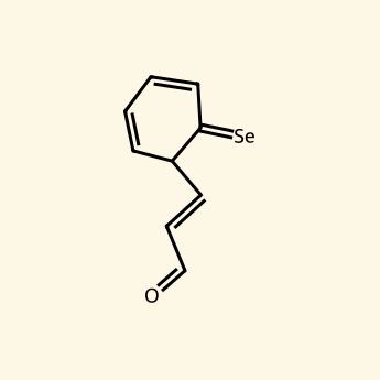 O=CC=CC1C=CC=CC1=[Se]